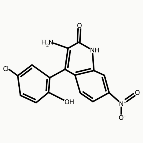 Nc1c(-c2cc(Cl)ccc2O)c2ccc([N+](=O)[O-])cc2[nH]c1=O